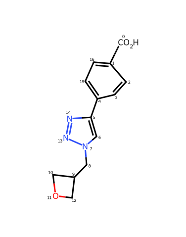 O=C(O)c1ccc(-c2cn(CC3COC3)nn2)cc1